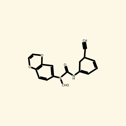 C#CC1C=CC=C(NC(=O)N(C=O)c2ccc3c(c2)OC=CO3)C1